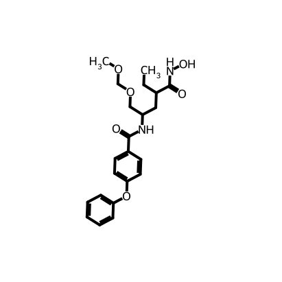 CCC(CC(COCOC)NC(=O)c1ccc(Oc2ccccc2)cc1)C(=O)NO